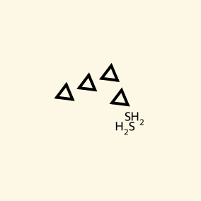 C1CC1.C1CC1.C1CC1.C1CC1.S.S